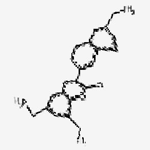 O=c1oc2c(CP)cc(CP)cc2cc1-c1ccc2cc(CP)ccc2c1